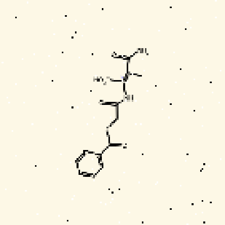 C/C(C(N)=O)=C(\NC(=O)CSC(=O)c1ccccc1)C(=O)O